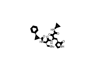 CC(C)(C)C[C@H](NC(=O)[C@@H]1C[C@H]1c1ccccc1)C(=O)NC(C[C@@H]1CCNC1=O)C(=O)C(=O)NC1CC1